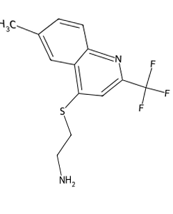 Cc1ccc2nc(C(F)(F)F)cc(SCCN)c2c1